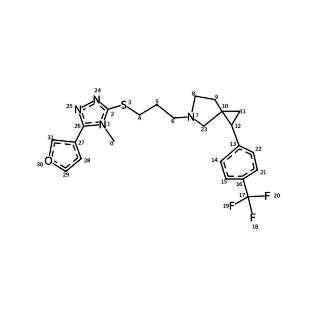 Cn1c(SCCCN2CCC3(CC3c3ccc(C(F)(F)F)cc3)C2)nnc1-c1ccoc1